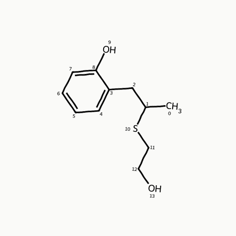 CC(Cc1ccccc1O)SCCO